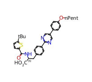 CCCCCOc1ccc(-c2cnc(-c3ccc(C[C@H](NC(=O)c4ccc(C(C)(C)C)s4)C(=O)O)cc3)nc2)cc1